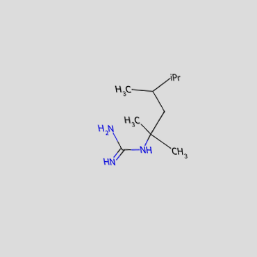 CC(C)C(C)CC(C)(C)NC(=N)N